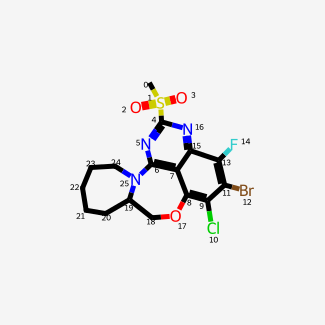 CS(=O)(=O)c1nc2c3c(c(Cl)c(Br)c(F)c3n1)OCC1CCCCCN21